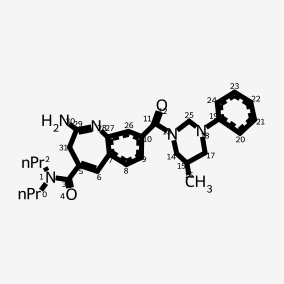 CCCN(CCC)C(=O)C1=Cc2ccc(C(=O)N3CC(C)CN(c4ccccc4)C3)cc2N=C(N)C1